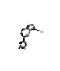 Sc1nnc2ccc(-c3cn[nH]c3)nn12